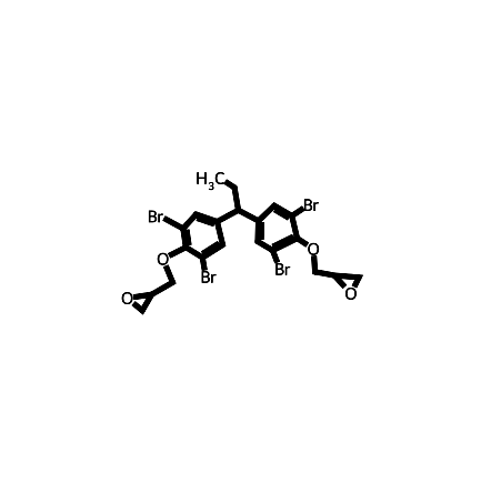 CCC(c1cc(Br)c(OCC2CO2)c(Br)c1)c1cc(Br)c(OCC2CO2)c(Br)c1